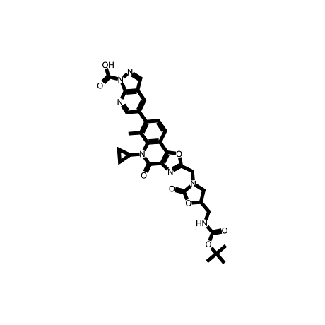 Cc1c(-c2cnc3c(cnn3C(=O)O)c2)ccc2c3oc(CN4CC(CNC(=O)OC(C)(C)C)OC4=O)nc3c(=O)n(C3CC3)c12